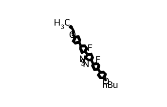 CC#CCOc1ccc(-c2ccc(-c3ccc(-c4ccc(-c5ccc(OCCCC)cc5)cc4F)c4nsnc34)c(F)c2)cc1